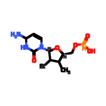 CCC1C(C)[C@@H](CO[PH](=O)O)O[C@H]1N1C=CC(N)NC1=O